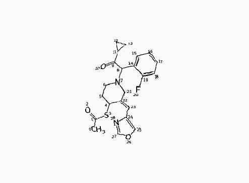 CC(=O)SC1CCN(C(C(=O)C2CC2)c2ccccc2F)CC1=Cc1cocn1